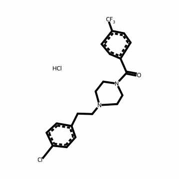 Cl.O=C(c1ccc(C(F)(F)F)cc1)N1CCN(CCc2ccc(Cl)cc2)CC1